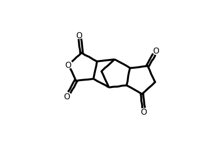 O=C1CC(=O)C2C3CC(C12)C1C(=O)OC(=O)C31